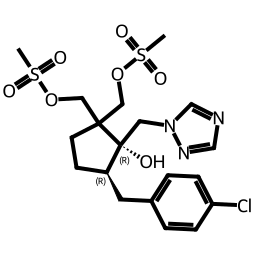 CS(=O)(=O)OCC1(COS(C)(=O)=O)CC[C@H](Cc2ccc(Cl)cc2)[C@]1(O)Cn1cncn1